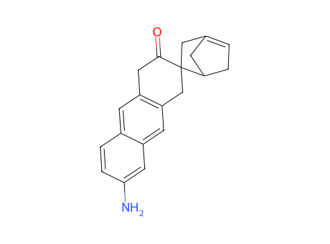 Nc1ccc2cc3c(cc2c1)CC1(CC2=CCC1C2)C(=O)C3